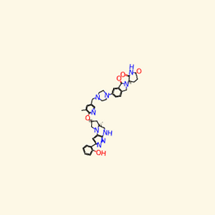 Cc1cc(CN2CCN(c3ccc4c(c3)C(=O)N([C@H]3CCC(=O)NC3=O)C4)CC2)cnc1O[C@H]1CN2c3cc(-c4ccccc4O)nnc3NC[C@]2(C)C1